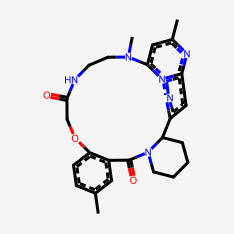 Cc1ccc2c(c1)C(=O)N1CCCCC1c1cc3nc(C)cc(n3n1)N(C)CCNC(=O)CO2